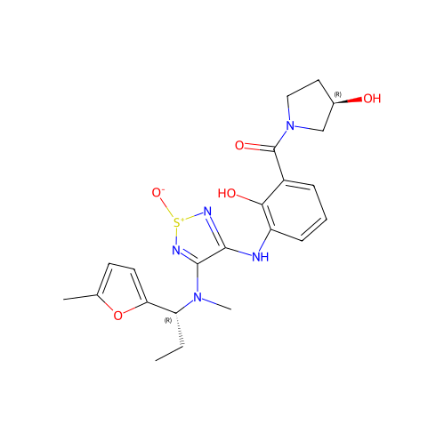 CC[C@H](c1ccc(C)o1)N(C)c1n[s+]([O-])nc1Nc1cccc(C(=O)N2CC[C@@H](O)C2)c1O